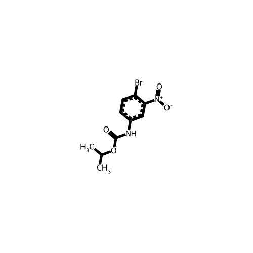 CC(C)OC(=O)Nc1ccc(Br)c([N+](=O)[O-])c1